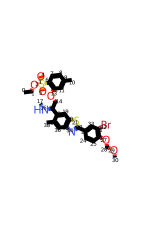 CCOS(=O)(=O)c1ccc(C)cc1OCC(NC)c1cc2sc(-c3ccc(OCOC)c(Br)c3)nc2cc1C